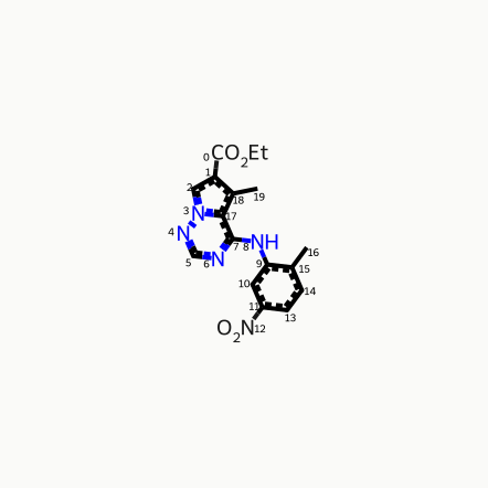 CCOC(=O)c1cn2ncnc(Nc3cc([N+](=O)[O-])ccc3C)c2c1C